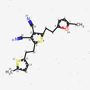 Cc1ccc(CCc2sc(CCc3ccc(C)s3)c(C#N)c2C#N)o1